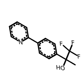 CC(O)(c1ccc(-c2ccccn2)cc1)C(F)(F)F